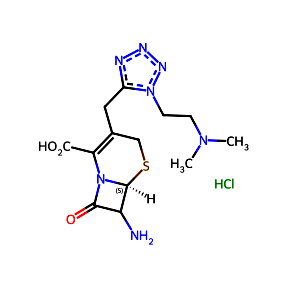 CN(C)CCn1nnnc1CC1=C(C(=O)O)N2C(=O)C(N)[C@@H]2SC1.Cl